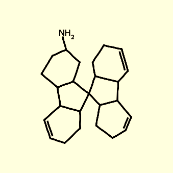 NC1CCC2C3C=CCCC3C3(C4CCC=CC4C4C=CCCC43)C2C1